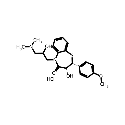 COc1ccc([C@H]2Sc3ccccc3N(CC(O)CN(C)C)C(=O)[C@H]2O)cc1.Cl